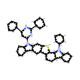 c1ccc(-c2cc(-n3c4ccccc4c4cc5c(cc43)sc3c5ccc4c5ccccc5n(-c5ccccc5)c43)nc(-c3ccccc3)n2)cc1